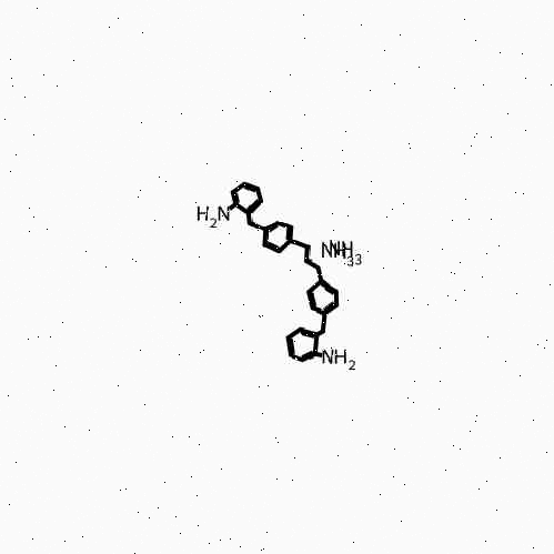 N.N.Nc1ccccc1Cc1ccc(CCCc2ccc(Cc3ccccc3N)cc2)cc1